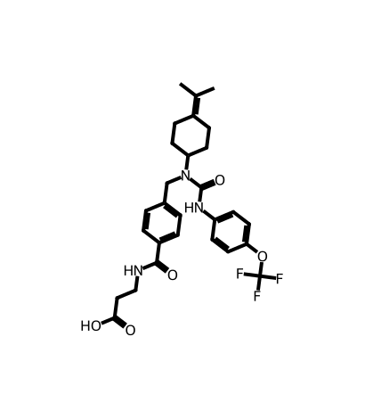 CC(C)=C1CCC(N(Cc2ccc(C(=O)NCCC(=O)O)cc2)C(=O)Nc2ccc(OC(F)(F)F)cc2)CC1